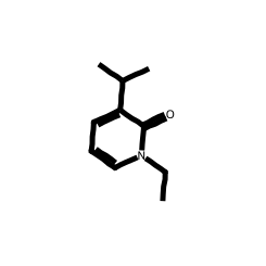 CCn1cccc(C(C)C)c1=O